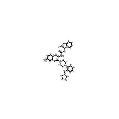 CN1Cc2ccccc2C1CC(=O)NC(Cc1ccc(Cl)cc1)C(=O)N1CCN(c2ccccc2CN2CCCC2)CC1